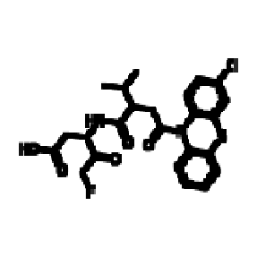 CC(C)C(CC(=O)N1c2ccccc2Sc2cc(Cl)ccc21)C(=O)NC(CC(=O)O)C(=O)CF